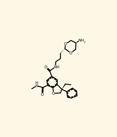 CC[C@@]1(c2ccccc2)COc2c(C(=O)NC)cc(C(=O)NCCC[C@H]3OC[C@H](N)CO3)cc21